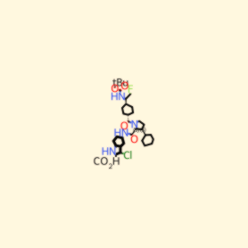 CC(C)(C)OC(=O)NC(CF)[C@H]1CC[C@H](C(=O)N2CC[C@@H](C3CCCCC3)[C@H]2C(=O)Nc2ccc3[nH]c(C(=O)O)c(Cl)c3c2)CC1